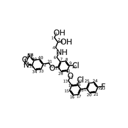 OCC(O)CNCc1cc(Cl)c(OCc2cccc(-c3ccc(F)cc3)c2Cl)cc1OCc1ccc2nonc2c1